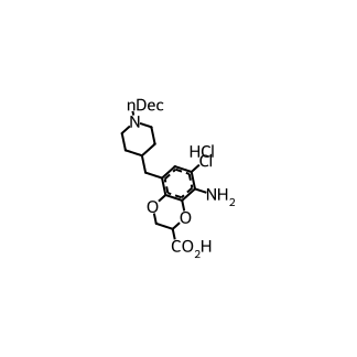 CCCCCCCCCCN1CCC(Cc2cc(Cl)c(N)c3c2OCC(C(=O)O)O3)CC1.Cl